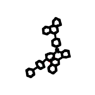 c1ccc(-c2ccc(-c3ccc(N(c4ccc(-c5cc6ccccc6c6ccccc56)cc4)c4ccccc4-c4ccc5ccccc5c4)cc3)cc2)cc1